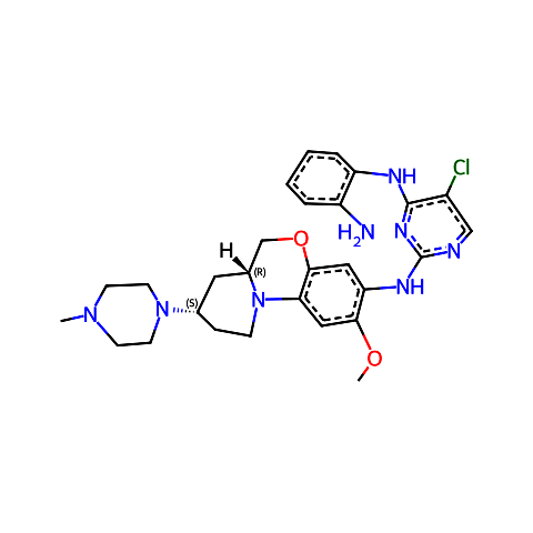 COc1cc2c(cc1Nc1ncc(Cl)c(Nc3ccccc3N)n1)OC[C@H]1C[C@@H](N3CCN(C)CC3)CCN21